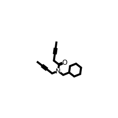 CC#CCC(=O)N(CC#CC)CC1CCCCC1